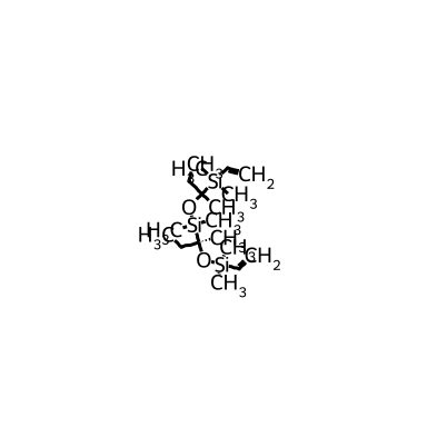 C=C[Si](C)(C)O[C@@](C)(CC)[Si](C)(C)OC(C)(CC)[Si](C)(C)C=C